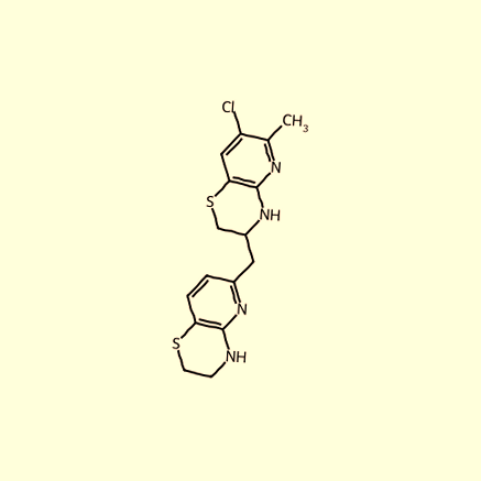 Cc1nc2c(cc1Cl)SCC(Cc1ccc3c(n1)NCCS3)N2